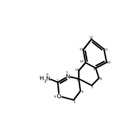 NC1=NC2(CCO1)CCc1ccccc1C2